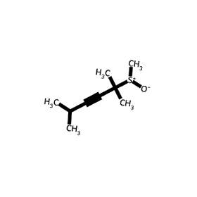 CC(C)C#CC(C)(C)[S+](C)[O-]